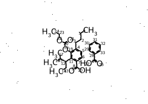 CCCCc1ccc(C(=O)O)c(C(CC)C(C)C)c1OC(=O)OCC.O=C(O)c1ccccc1